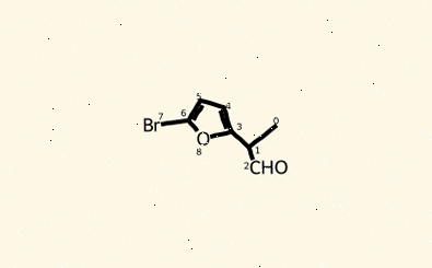 CC(C=O)c1ccc(Br)o1